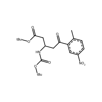 Cc1ccc([N+](=O)[O-])cc1C(=O)CC(CC(=O)OC(C)(C)C)NC(=O)OC(C)(C)C